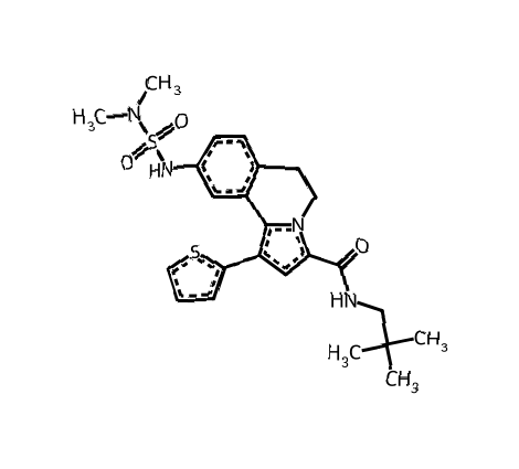 CN(C)S(=O)(=O)Nc1ccc2c(c1)-c1c(-c3cccs3)cc(C(=O)NCC(C)(C)C)n1CC2